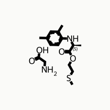 CSCCOC(=O)[C@H](C)Nc1ccc(C)cc1C.NCC(=O)O